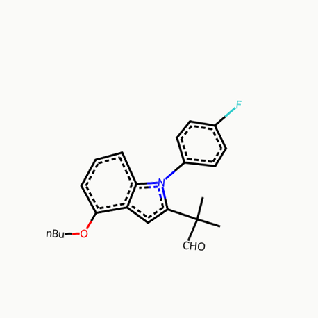 CCCCOc1cccc2c1cc(C(C)(C)C=O)n2-c1ccc(F)cc1